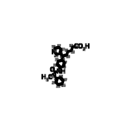 CN(C(=O)Nc1ccc(C(=CCCCC(=O)O)c2cccnc2)cc1)c1ccccc1